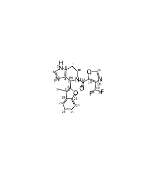 Cc1c([C@H]2c3nc[nH]c3CCN2C(=O)c2ocnc2C(F)F)oc2ccccc12